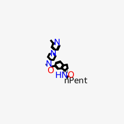 CCCCCC(=O)N[C@@H]1CCc2ccc(C(=O)N(C)C3CCN(c4ccnc(C)c4)CC3)cc21